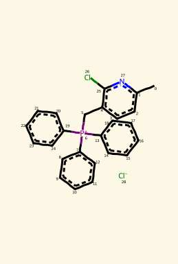 Cc1ccc(C[P+](c2ccccc2)(c2ccccc2)c2ccccc2)c(Cl)n1.[Cl-]